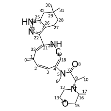 C=C1/C=C\C(N(C)C(=O)C(C)N2CCOCC2C)=C/CN/C(c2n[nH]c3c2CCC(C)(C)C3)=C\1